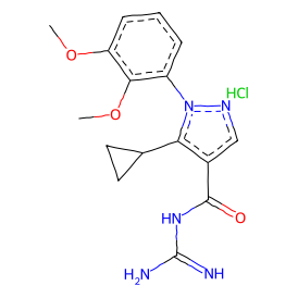 COc1cccc(-n2ncc(C(=O)NC(=N)N)c2C2CC2)c1OC.Cl